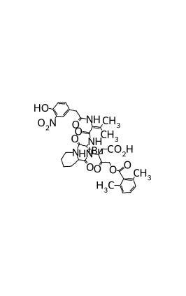 CC(C)=C(NC(=O)Cc1ccc(O)c([N+](=O)[O-])c1)C(=O)NC(C(=O)N1CCCCC1C(=O)N[C@@H](CC(=O)O)C(=O)COC(=O)c1c(C)cccc1C)C(C)(C)C